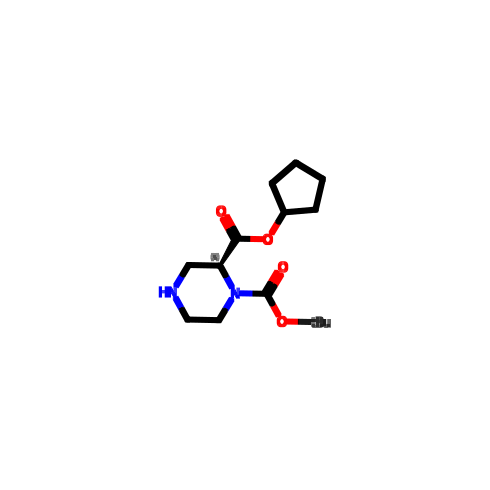 CC(C)(C)OC(=O)N1CCNC[C@H]1C(=O)OC1CCCC1